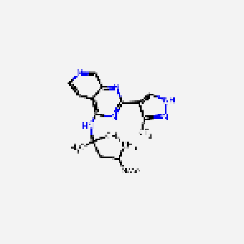 CNC(C)CC(C)(C)Nc1nc(-c2c[nH]nc2C(F)(F)F)nc2cnccc12